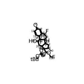 C[C@@H]1C[C@H]2[C@@H]3C[C@H](F)C4=CC(=O)C=C[C@]4(C)C3(F)[C@@H](O)C[C@]2(C)[C@]1(OC(=O)OC(C)(C)C)C(=O)OCF